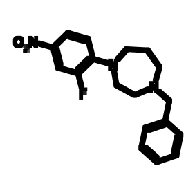 O=[N+]([O-])c1ccc(N2CCCN(Cc3ccccc3)CC2)c(F)c1